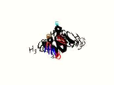 CC(C)(C)[Si](C)(C)Oc1cc(Br)ccc1[C@H]1NC(=O)[C@@H]1c1ccccc1CC[C@H](O[Si](C)(C)C(C)(C)C)c1ccc(F)cc1